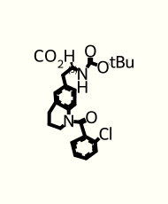 CC(C)(C)OC(=O)N[C@@H](Cc1ccc2c(c1)CCCN2C(=O)c1ccccc1Cl)C(=O)O